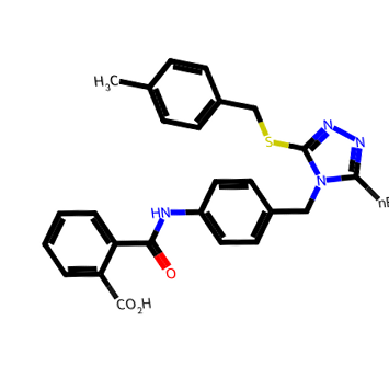 CCCCc1nnc(SCc2ccc(C)cc2)n1Cc1ccc(NC(=O)c2ccccc2C(=O)O)cc1